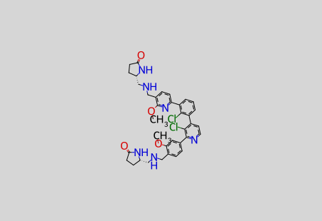 COc1cc(-c2nccc(-c3cccc(-c4ccc(CNC[C@@H]5CCC(=O)N5)c(OC)n4)c3Cl)c2Cl)ccc1CNC[C@@H]1CCC(=O)N1